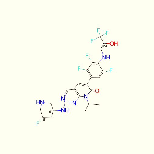 CC(C)n1c(=O)c(-c2cc(F)c(NC[C@H](O)C(F)(F)F)c(F)c2F)cc2cnc(N[C@@H]3CNC[C@@H](F)C3)nc21